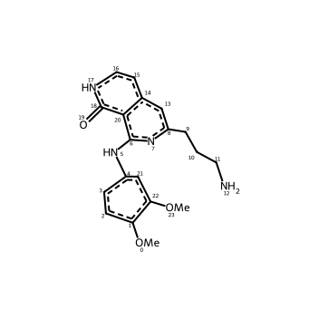 COc1ccc(Nc2nc(CCCN)cc3cc[nH]c(=O)c23)cc1OC